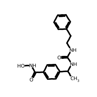 CC(NC(=O)NCCc1ccccc1)c1ccc(C(=O)NO)cc1